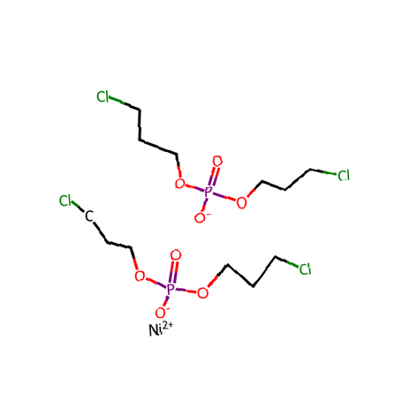 O=P([O-])(OCCCCl)OCCCCl.O=P([O-])(OCCCCl)OCCCCl.[Ni+2]